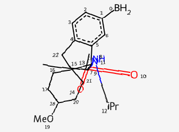 Bc1ccc2c(c1)C1(NC(=O)N(C(C)C)C1=O)C1(CCC(OC)CC1)C2